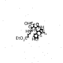 CCOC(=O)CCCNOC(=O)C(CC=O)C1N=C(c2ccccc2)c2c(cn(C)c2C)NC1=O.Cl